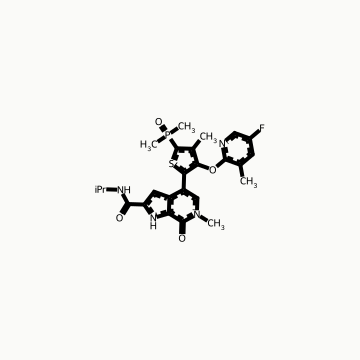 Cc1cc(F)cnc1Oc1c(-c2cn(C)c(=O)c3[nH]c(C(=O)NC(C)C)cc23)sc(P(C)(C)=O)c1C